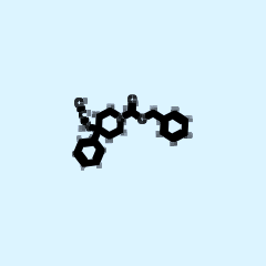 O=C=NC1(c2ccccc2)CCN(C(=O)OCc2ccccc2)CC1